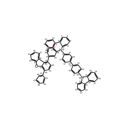 c1ccc(-c2ccccc2N(c2ccc(-c3ccc(-n4c5ccccc5c5ccccc54)cc3)cc2)c2cccc(-c3ccc(-c4ccccc4)c4oc5ccccc5c34)c2)cc1